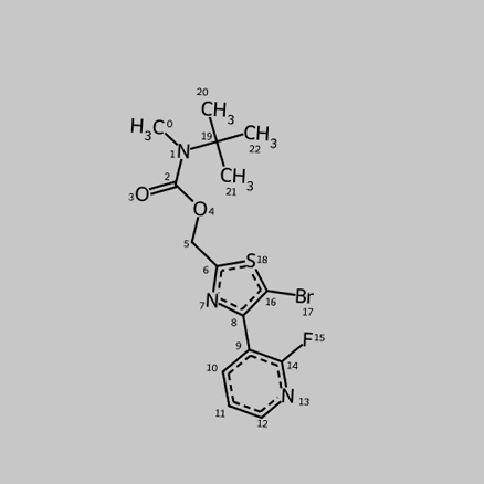 CN(C(=O)OCc1nc(-c2cccnc2F)c(Br)s1)C(C)(C)C